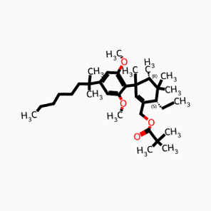 CCCCCCC(C)(C)c1cc(OC)c(C2(C)C=C(COC(=O)C(C)(C)C)[C@@H](CC)C(C)(C)[C@H]2C)c(OC)c1